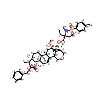 CCC(CC)(CO[C@H]1[C@H](OC)C[C@@]23COC[C@@]1(C)[C@@H]2CC[C@H]1C3=CC[C@@]2(C)[C@H](C(=O)OCc3ccccc3)[C@@](C)([C@H](C)C(C)C)CC[C@]12C)N(C)S(=O)(=O)c1ccc(C)cc1